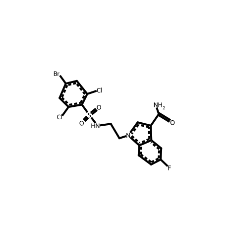 NC(=O)c1cn(CCNS(=O)(=O)c2c(Cl)cc(Br)cc2Cl)c2ccc(F)cc12